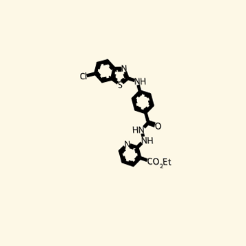 CCOC(=O)c1cccnc1NNC(=O)c1ccc(Nc2nc3ccc(Cl)cc3s2)cc1